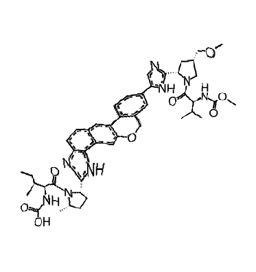 CC[C@H](C)[C@H](NC(=O)O)C(=O)N1[C@@H](C)CC[C@H]1c1nc2ccc3cc4c(cc3c2[nH]1)OCc1cc(-c2cnc([C@@H]3C[C@H](COC)CN3C(=O)[C@@H](NC(=O)OC)C(C)C)[nH]2)ccc1-4